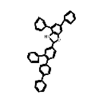 c1ccc(-c2ccc(-c3ccc(C4Nc5c(cc(-c6ccccc6)cc5-c5ccccc5)O4)cc3-c3ccccc3)cc2)cc1